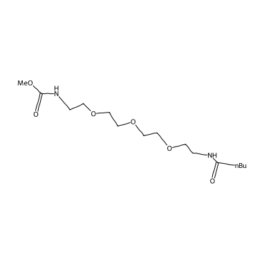 CCCCC(=O)NCCOCCOCCOCCNC(=O)OC